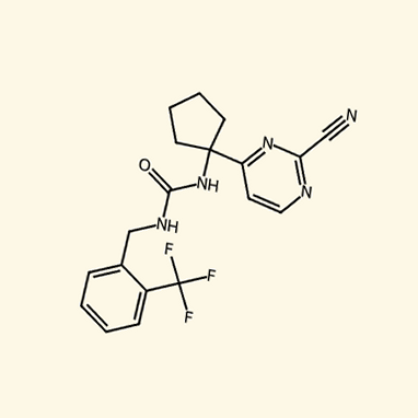 N#Cc1nccc(C2(NC(=O)NCc3ccccc3C(F)(F)F)CCCC2)n1